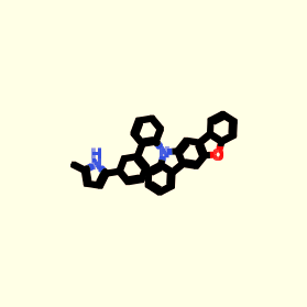 Cc1ccc(C2C=CC=C(C3=C(n4c5ccccc5c5cc6c(cc54)C4C=CC=CC4O6)CCC=C3)C2)[nH]1